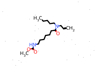 C=CCN(CCCCC)C(=O)CCCCCCNC(=O)OC